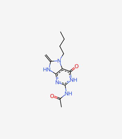 C=C1Nc2nc(NC(C)=O)[nH]c(=O)c2N1CCCC